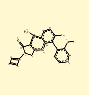 COc1cnccc1-c1c(F)ccc2c(N)c3c(nc12)CN(C1=CC=C1)C3=O